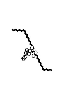 CCCC/C=C\CCCCCCCC(=O)O[C@H](COCCCCCCCC/C=C\CCCCCC)COP(=O)([O-])OCC[N+](C)(C)C